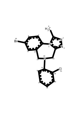 Cc1nnc2n1-c1ccc(Br)cc1CN(c1ccccc1Cl)C2